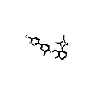 Cc1cc(-c2ccc(Cl)nn2)ccc1OCc1c(C)cccc1-n1[nH]n(C)c1=O